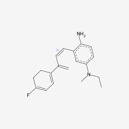 C=C(/C=C\c1cc(N(C)CC)ccc1N)C1=CC=C(F)CC1